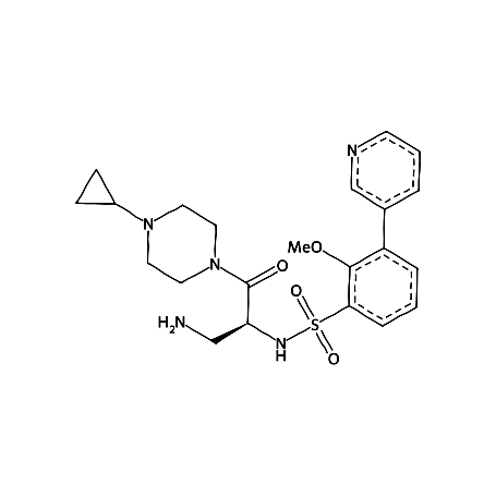 COc1c(-c2cccnc2)cccc1S(=O)(=O)N[C@@H](CN)C(=O)N1CCN(C2CC2)CC1